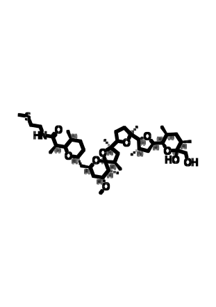 CO[C@@H]1C[C@@H](C[C@H]2CC[C@H](C)C([C@@H](C)C(=O)NCCSC)O2)O[C@]2(O[C@@](C)(C3CC[C@@](C)([C@@H]4O[C@@H]([C@@H]5O[C@@](O)(CO)[C@H](C)C[C@@H]5C)C[C@@H]4C)O3)C[C@H]2C)[C@@H]1C